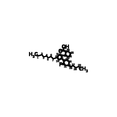 CCCCCCCCc1ccc(-c2ccccc2C(=O)O)c(-c2ccc(CCCCC)cc2F)c1